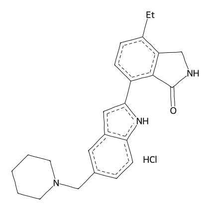 CCc1ccc(-c2cc3cc(CN4CCCCC4)ccc3[nH]2)c2c1CNC2=O.Cl